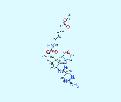 CCOC(=O)CCCCCCNC(=O)OC(C)(C)Cc1cc2nc(-c3cnc(N)nc3)nc(N3CCOCC3)c2s1